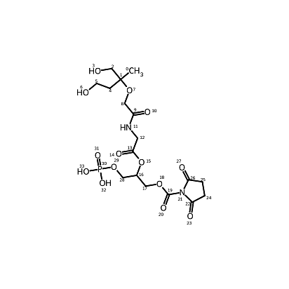 CC(CO)(CCO)OCC(=O)NCC(=O)OC(COC(=O)N1C(=O)CCC1=O)COP(=O)(O)O